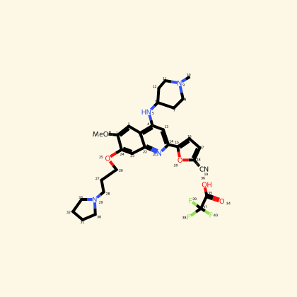 COc1cc2c(NC3CCN(C)CC3)cc(-c3ccc(C#N)o3)nc2cc1OCCCN1CCCC1.O=C(O)C(F)(F)F